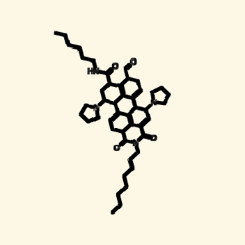 CCCCCCCCN1C(=O)C2=CC(N3CCCC3)C3C4=CCC(C=O)C5=C4C(C4=CCC(C1=O)C2=C43)C(N1CCCC1)CC5C(=O)NCCCCCC